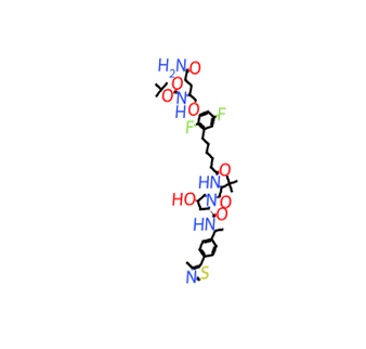 Cc1ncsc1-c1ccc(C(C)NC(=O)[C@@H]2C[C@@H](O)CN2C(=O)C(NC(=O)CCCCCc2cc(F)cc(OCC(CCC(N)=O)NC(=O)OC(C)(C)C)c2F)C(C)(C)C)cc1